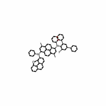 Cc1cc(N(c2ccccc2)c2c(F)cc(-c3ccccc3)cc2-c2ccccc2)c2ccc3c(C)cc(N(c4ccccc4)c4ccc5ccc6cccc7oc4c5c67)c4ccc1c2c34